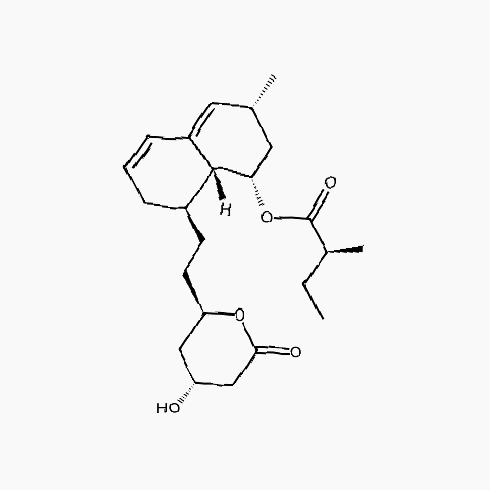 CC[C@H](C)C(=O)O[C@H]1C[C@@H](C)C=C2C=CC[C@H](CC[C@@H]3C[C@@H](O)CC(=O)O3)[C@H]21